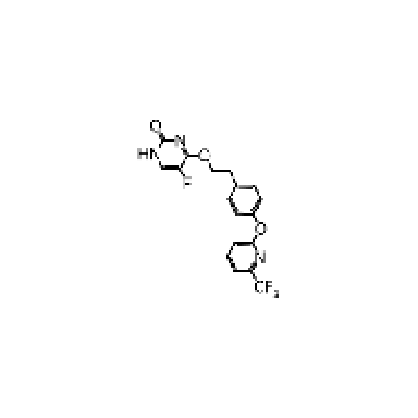 O=c1nc(OCCc2ccc(Oc3cccc(C(F)(F)F)n3)cc2)c(F)c[nH]1